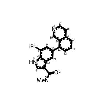 CNC(=O)c1c[nH]c2c(C(C)C)cc(-c3cccc4ccncc34)cc12